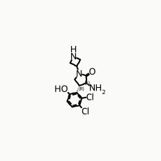 N[C@@H]1C(=O)N(C2CNC2)C[C@H]1c1c(O)ccc(Cl)c1Cl